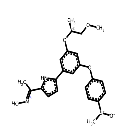 COC[C@H](C)Oc1cc(Oc2ccc([S+](C)[O-])cc2)cc(-c2ccc(/C(C)=N/O)[nH]2)c1